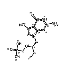 N#Cc1cn(C[C@@H](CF)OCP(=O)(O)O)c2nc(N)[nH]c(=O)c12